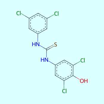 Oc1c(Cl)cc(NC(=S)Nc2cc(Cl)cc(Cl)c2)cc1Cl